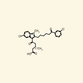 C[C@H](CC(=O)O)CC(=O)c1c(CCCCCC(=O)c2cccc(Cl)c2)n(C)c2ccc(Cl)cc12